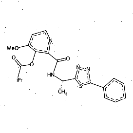 COc1ccnc(C(=O)N[C@@H](C)c2nnc(-c3ccccc3)s2)c1OC(=O)C(C)C